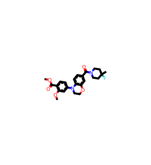 COC(=O)c1ccc(N2CCOc3cc(C(=O)N4CCC(C)(F)CC4)ccc32)cc1OC